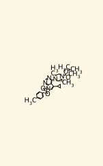 Cc1ccc(S(=O)(=O)n2cc(C3CC3)c3c(N4C[C@H](C)N(C(=O)OC(C)(C)C)CC4C)ncnc32)cc1